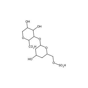 O=C(O)C1OCC(O)C(O)C1OC1CC(O)CC(COS(=O)(=O)O)O1